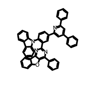 c1ccc(-c2cc(-c3ccccc3)nc(-c3ccc(-n4c5ccccc5c5ccccc54)c(-c4nc(-c5ccccc5)c5oc6ccccc6c5n4)c3)c2)cc1